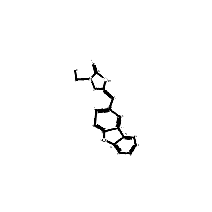 CCN1C/C(=C\c2ccc3oc4ccccc4c3c2)OC1=S